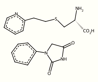 N[C@@H](CSCCc1ccccn1)C(=O)O.O=C1CN(c2ccccc2)C(=O)N1